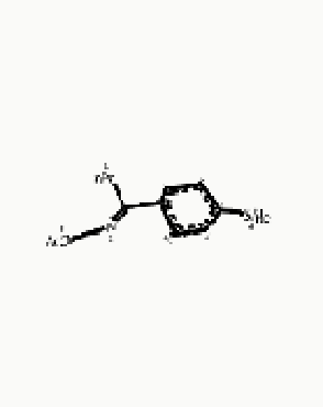 CCCC(=NOC(C)=O)c1ccc(SC)cc1